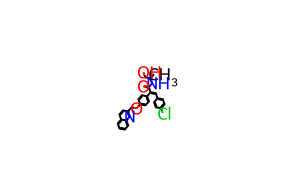 CC(CO)NC(=O)/C(=C/c1ccc(Cl)cc1)c1ccc(OCc2ccc3ccccc3n2)cc1